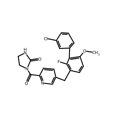 COc1ccc(Cc2ccc(C(=O)N3CCNC3=O)nc2)c(F)c1-c1cccc(Cl)c1